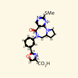 CSc1ncc2c(n1)N1CCCC1CN(c1cccc(-c3nc(C(=O)O)co3)c1)C2=O